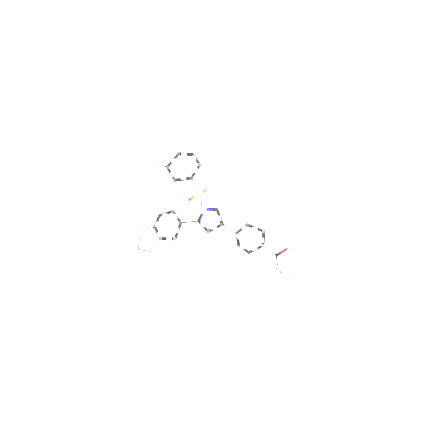 NC(=O)c1ccc(-c2cc(-c3ccc4c(c3)OCO4)n(S(=O)(=O)c3cccc(Cl)c3)c2)cc1